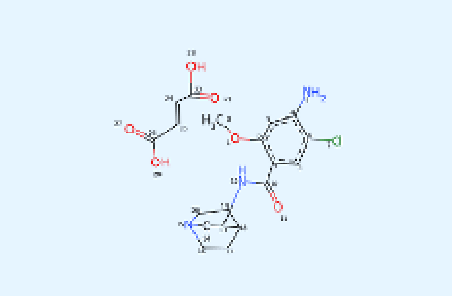 COc1cc(N)c(Cl)cc1C(=O)NC1CN2CCC1CC2.O=C(O)C=CC(=O)O